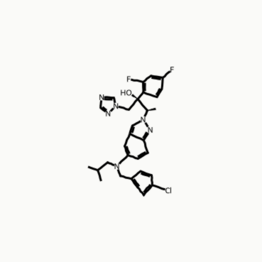 CC(C)CN(Cc1ccc(Cl)cc1)c1ccc2nn([C@H](C)[C@](O)(Cn3cncn3)c3ccc(F)cc3F)cc2c1